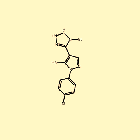 CCN1NNN=C1c1cnn(-c2ccc(Cl)cc2)c1S